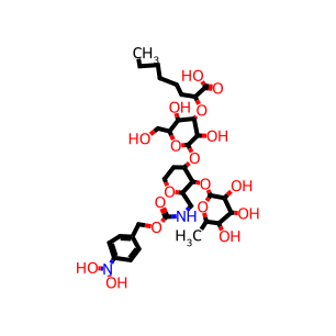 CCCCCCC(OC1C(O)C(CO)OC(OC2CCOC(CNC(=O)OCc3ccc(N(O)O)cc3)C2OC2OC(C)C(O)C(O)C2O)C1O)C(=O)O